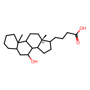 CC12CCCCC1CC(O)C1C2CC[C@]2(C)C(CCCC(=O)O)CCC12